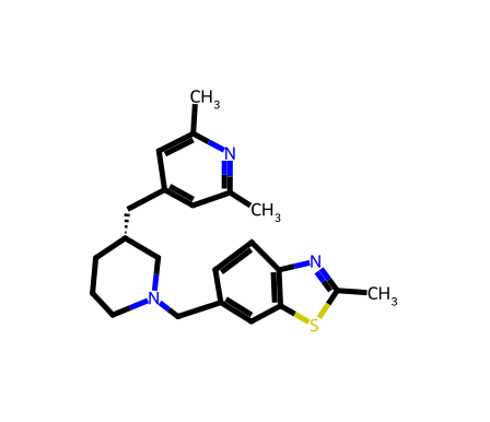 Cc1cc(C[C@H]2CCCN(Cc3ccc4nc(C)sc4c3)C2)cc(C)n1